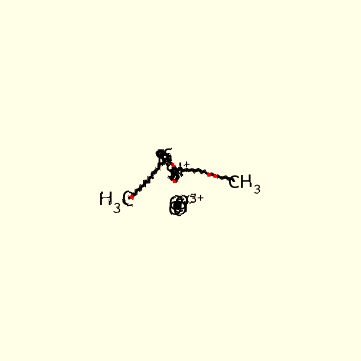 CCCCCCCCCCCCCCCCCCN1C(=CC=Cc2sc3ccccc3[n+]2CCCCCCCCCCCCCCCCCC)Sc2ccccc21.[O-][Cl+3]([O-])([O-])[O-]